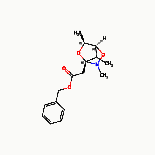 B[C@@H]1O[C@]2(CC(=O)OCc3ccccc3)C(C)[C@@H]1ON2C